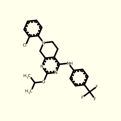 CC(C)Oc1nc2c(c(Nc3ccc(C(F)(F)F)cc3)n1)CCN(c1ccccc1Cl)C2